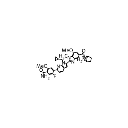 COc1cc(-c2ccc3cc(-c4nc5cc(C(=O)N6CC7CCC6[C@@H]7N)cc(OC)c5n4C)n(CC4CC4)c3n2)c(F)cc1C(N)=O